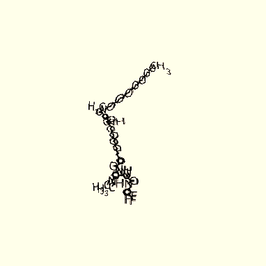 CCN(CC)c1ccc(NC(=O)c2cccc(CCCOCCOCCOCCOCCNS(=O)(=O)c3ccc(C(=O)N(C)CCOCCOCCOCCOCCOCCOCCOC)cc3)c2)c(-c2cc(C(=O)NCc3cccc(C(F)(F)F)c3)ccn2)c1